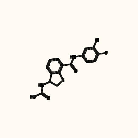 O=C(O)NC1CSc2c(C(=O)Nc3ccc(F)c(Cl)c3)cccc21